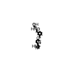 O=C(Cc1cccc(COc2ccc(-c3ccn[nH]3)nc2)c1)NCCO